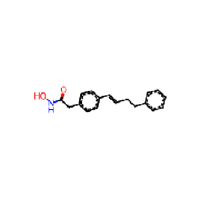 O=C(Cc1ccc(/C=C/CCc2ccccc2)cc1)NO